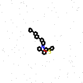 c1ccc(-c2ccc3cc(-c4ccc5ccc(N(c6ccc7sc8ccccc8c7c6)c6ccccc6-c6ccccc6)cc5c4)ccc3c2)cc1